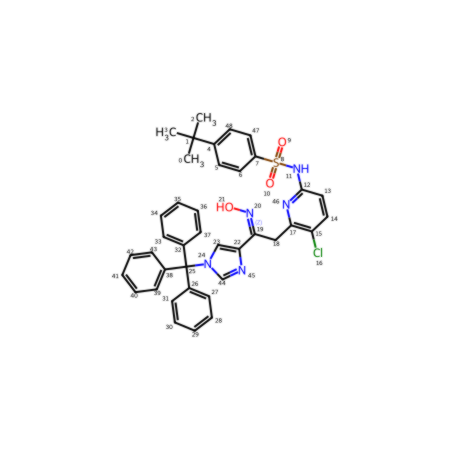 CC(C)(C)c1ccc(S(=O)(=O)Nc2ccc(Cl)c(C/C(=N/O)c3cn(C(c4ccccc4)(c4ccccc4)c4ccccc4)cn3)n2)cc1